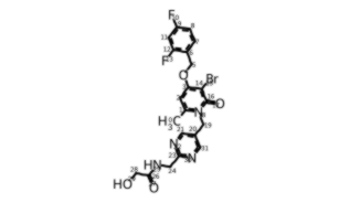 Cc1cc(OCc2ccc(F)cc2F)c(Br)c(=O)n1Cc1cnc(CNC(=O)CO)nc1